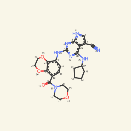 N#Cc1c[nH]c2nc(Nc3ccc(C(=O)N4CCOCC4)c4c3OCCO4)nc(NC3CCCC3)c12